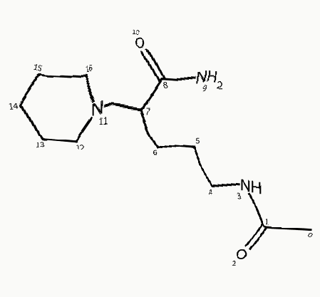 CC(=O)NCCCC(C(N)=O)N1CCCCC1